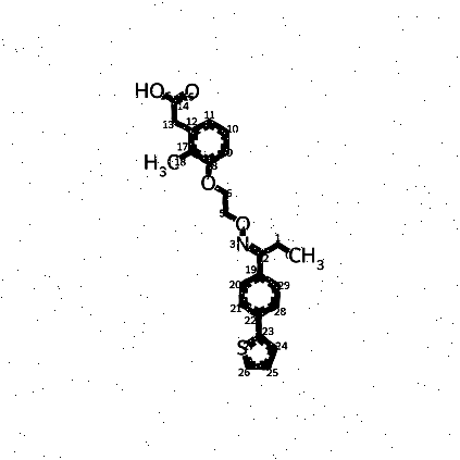 CC/C(=N\OCCOc1cccc(CC(=O)O)c1C)c1ccc(-c2cccs2)cc1